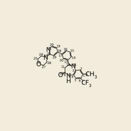 Cc1cc2c(cc1C(F)(F)F)NC(=O)CC(c1cccc(-c3ccnc(N4CCOCC4)c3)c1)=N2